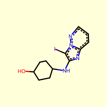 OC1CCC(Nc2nc3cccnn3c2I)CC1